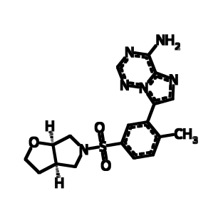 Cc1ccc(S(=O)(=O)N2C[C@H]3CCO[C@H]3C2)cc1-c1cnc2c(N)ncnn12